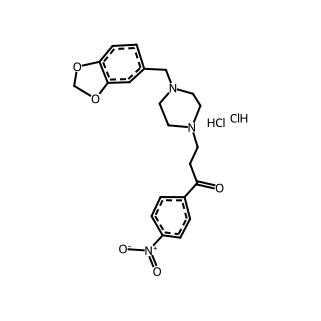 Cl.Cl.O=C(CCN1CCN(Cc2ccc3c(c2)OCO3)CC1)c1ccc([N+](=O)[O-])cc1